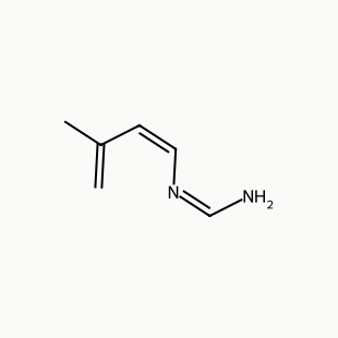 C=C(C)/C=C\N=C/N